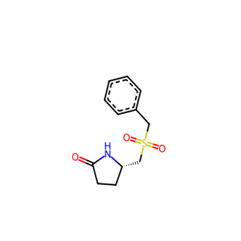 O=C1CC[C@@H](CS(=O)(=O)Cc2ccccc2)N1